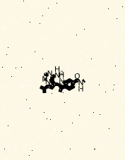 CNC(=O)c1ccc2c(C)c(-c3cc(C(C)C)n4ncnc(N)c34)[nH]c2c1